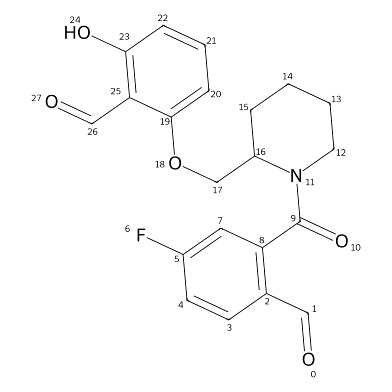 O=Cc1ccc(F)cc1C(=O)N1CCCCC1COc1cccc(O)c1C=O